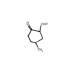 CC1CCC(=O)C(C=O)C1